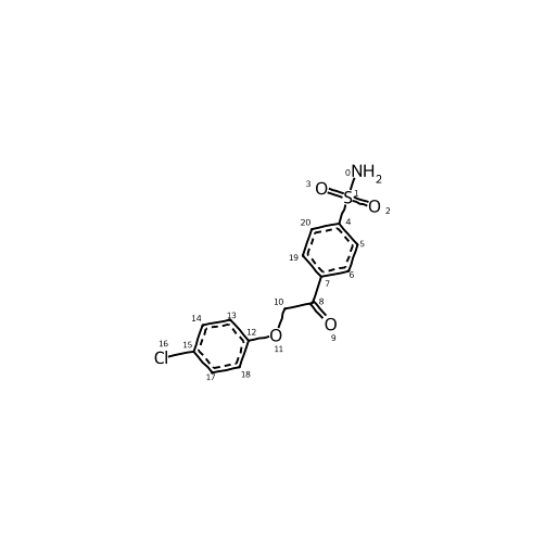 NS(=O)(=O)c1ccc(C(=O)COc2ccc(Cl)cc2)cc1